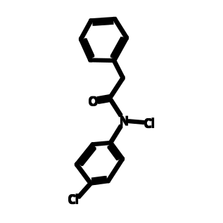 O=C(Cc1ccccc1)N(Cl)c1ccc(Cl)cc1